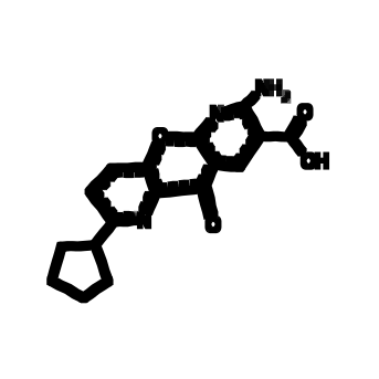 Nc1nc2oc3ccc(C4CCCC4)nc3c(=O)c2cc1C(=O)O